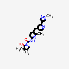 Cc1nc(NC(=O)N2CCC(C)(C)C2O)ccc1Cc1ccnc(-c2cnn(C)c2)c1